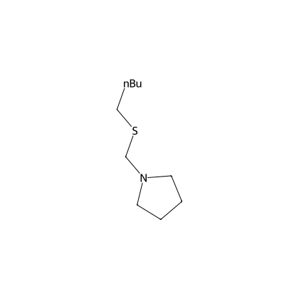 CCCCCSCN1CCCC1